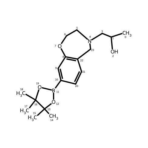 CC(O)CN1CCOc2cc(B3OC(C)(C)C(C)(C)O3)ccc2C1